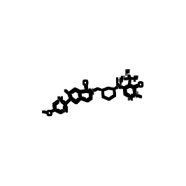 COc1cnc(-c2cc3ccn(C[C@@H]4CCC[C@H](Nc5cnn(C)c(=O)c5C(F)(F)F)C4)c(=O)c3cc2C)nc1